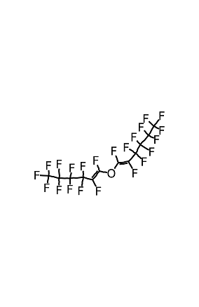 FC(OC(F)=C(F)C(F)(F)C(F)(F)C(F)(F)C(F)(F)F)=C(F)C(F)(F)C(F)(F)C(F)(F)C(F)(F)F